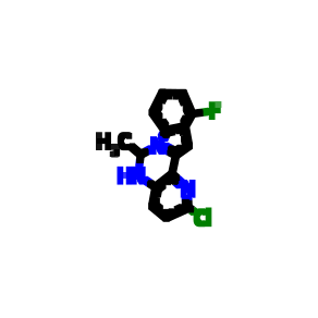 CC1Nc2ccc(Cl)nc2-c2cc3c(F)cccc3n21